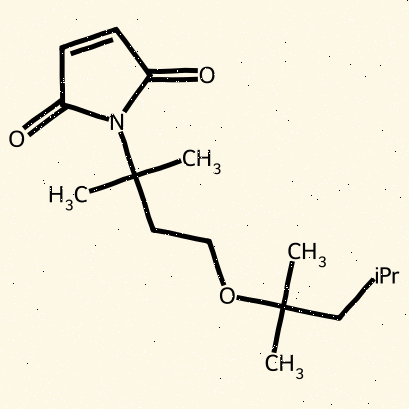 CC(C)CC(C)(C)OCCC(C)(C)N1C(=O)C=CC1=O